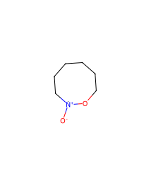 [O-][N+]1CCCCCCO1